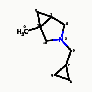 CC12CC1CN(CC1CC1)C2